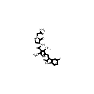 Cc1[nH]c(/C=C2\C(=O)Nc3ccc(F)cc32)c(C)c1C(=O)N[C@@H]1CON(CC(N)=O)C1=O